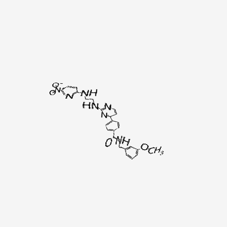 COc1cccc(CNC(=O)c2ccc(-c3ccnc(NCCNc4ccc([N+](=O)[O-])cn4)n3)cc2)c1